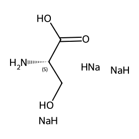 N[C@@H](CO)C(=O)O.[NaH].[NaH].[NaH]